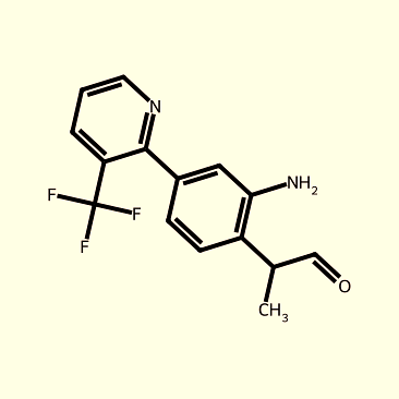 CC(C=O)c1ccc(-c2ncccc2C(F)(F)F)cc1N